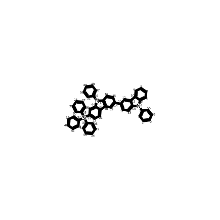 c1ccc(-n2c3ccccc3c3cc(-c4ccc5c(c4)c4ccc([Si](c6ccccc6)(c6ccccc6)c6ccccc6)cc4n5-c4ccccc4)ccc32)cc1